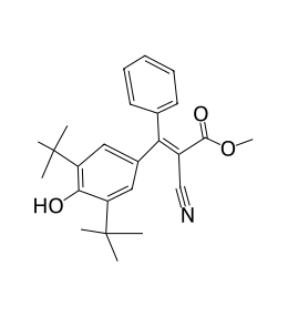 COC(=O)C(C#N)=C(c1ccccc1)c1cc(C(C)(C)C)c(O)c(C(C)(C)C)c1